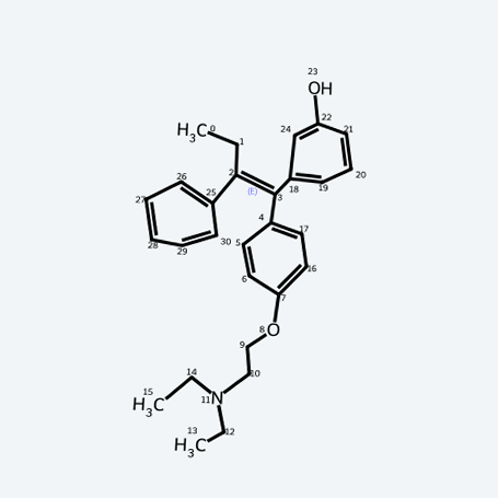 CC/C(=C(/c1ccc(OCCN(CC)CC)cc1)c1cccc(O)c1)c1ccccc1